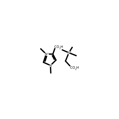 C[N+](C)(C)CC(=O)O.Cn1cc(C(=O)O)[n+](C)c1